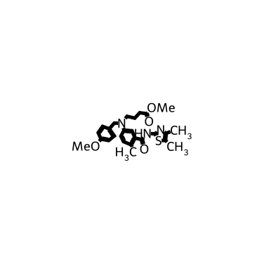 COC(=O)CCCN(Cc1ccc(OC)cc1)c1ccc(C)c(C(=O)Nc2nc(C)c(C)s2)c1